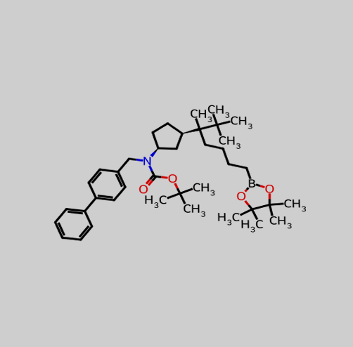 CC(C)(C)OC(=O)N(Cc1ccc(-c2ccccc2)cc1)[C@H]1CC[C@@H](C(C)(CCCCB2OC(C)(C)C(C)(C)O2)C(C)(C)C)C1